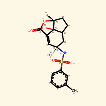 Cc1cccc(S(=O)(=O)N[C@@]2(C)C=C3C(=O)O[C@@H]4CCC(C2)[C@]34O)c1